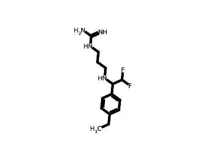 CCc1ccc(C(NCCCNC(=N)N)C(F)F)cc1